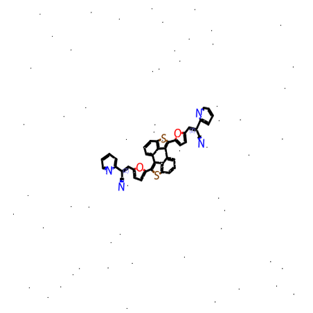 N#C/C(=C\c1ccc(-c2sc3cccc4c5c(-c6ccc(/C=C(\C#N)c7ccccn7)o6)sc6cccc(c2c34)c65)o1)c1ccccn1